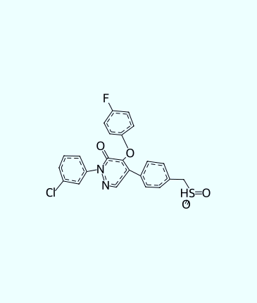 O=c1c(Oc2ccc(F)cc2)c(-c2ccc(C[SH](=O)=O)cc2)cnn1-c1cccc(Cl)c1